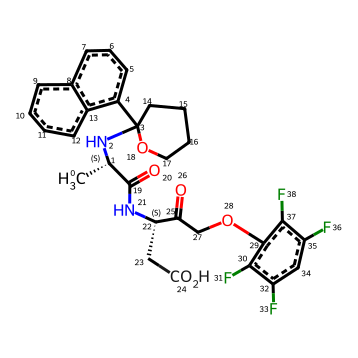 C[C@H](NC1(c2cccc3ccccc23)CCCCO1)C(=O)N[C@@H](CC(=O)O)C(=O)COc1c(F)c(F)cc(F)c1F